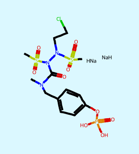 CN(Cc1ccc(OP(=O)(O)O)cc1)C(=O)N(N(CCCl)S(C)(=O)=O)S(C)(=O)=O.[NaH].[NaH]